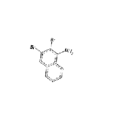 Nc1c(Br)c(Br)cc2ccccc12